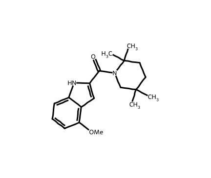 COc1cccc2[nH]c(C(=O)N3CC(C)(C)CCC3(C)C)cc12